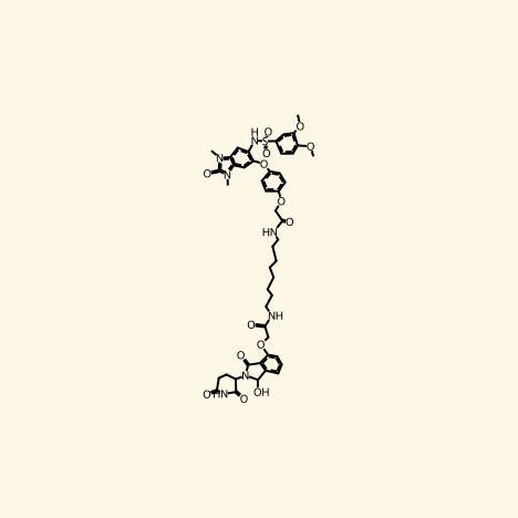 COc1ccc(S(=O)(=O)Nc2cc3c(cc2Oc2ccc(OCC(=O)NCCCCCCCCNC(=O)COc4cccc5c4C(=O)N(C4CCC(=O)NC4=O)C5O)cc2)n(C)c(=O)n3C)cc1OC